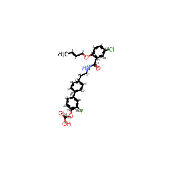 CCCCOc1ccc(Cl)cc1C(=O)NCCc1ccc(-c2ccc(OC(=O)O)c(F)c2)cc1